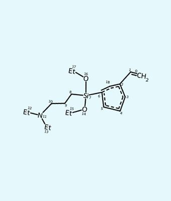 C=Cc1cccc([Si](CCCN(CC)CC)(OCC)OCC)c1